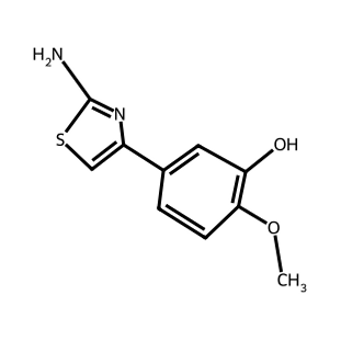 COc1ccc(-c2csc(N)n2)cc1O